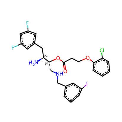 N[C@@H](Cc1cc(F)cc(F)c1)[C@@H](CNCc1cccc(I)c1)OC(=O)CCOc1ccccc1Cl